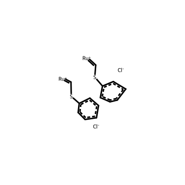 [Cl-].[Cl-].[Ru+]=[CH]Sc1ccccc1.[Ru+]=[CH]Sc1ccccc1